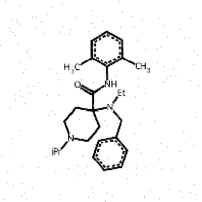 CCN(Cc1ccccc1)C1(C(=O)Nc2c(C)cccc2C)CCN(C(C)C)CC1